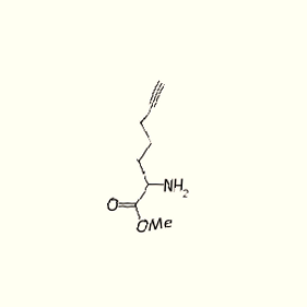 C#CCCCC(N)C(=O)OC